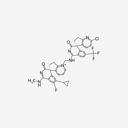 CNC1=NC(=O)[C@]2(CCc3c2ccc[n+]3CNC2=NC(=O)[C@]3(CCc4nc(Cl)ccc43)c3cc(C(F)(F)F)ccc32)c2cc(C3CC3)c(F)cc21